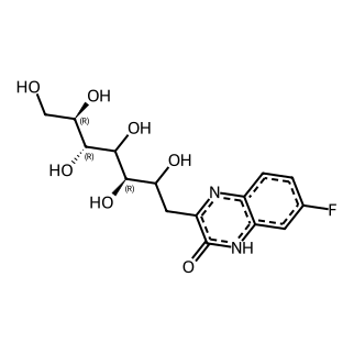 O=c1[nH]c2cc(F)ccc2nc1CC(O)[C@@H](O)C(O)[C@H](O)[C@H](O)CO